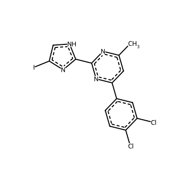 Cc1cc(-c2ccc(Cl)c(Cl)c2)nc(-c2nc(I)c[nH]2)n1